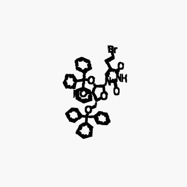 O=c1[nH]c(=O)n([C@@H]2O[C@H](COC(c3ccccc3)(c3ccccc3)c3ccccc3)[C@@H](O)[C@H]2OC(c2ccccc2)(c2ccccc2)c2ccccc2)cc1C=CBr